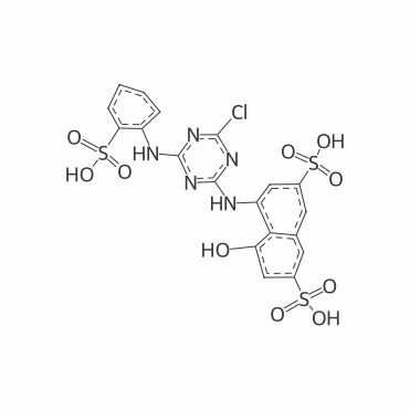 O=S(=O)(O)c1cc(O)c2c(Nc3nc(Cl)nc(Nc4ccccc4S(=O)(=O)O)n3)cc(S(=O)(=O)O)cc2c1